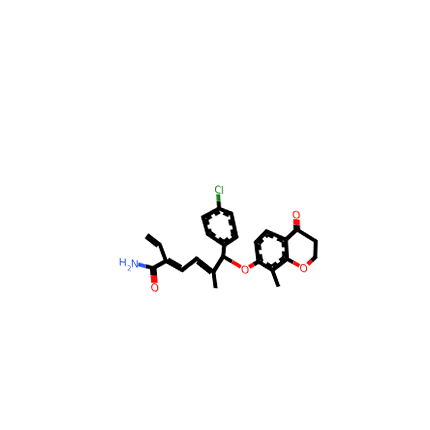 C=C/C(=C\C=C(/C)C(Oc1ccc2c(c1C)OCCC2=O)c1ccc(Cl)cc1)C(N)=O